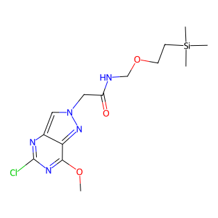 COc1nc(Cl)nc2cn(CC(=O)NCOCC[Si](C)(C)C)nc12